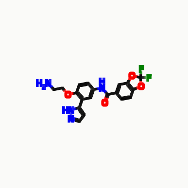 NCCOc1ccc(NC(=O)c2ccc3c(c2)OC(F)(F)O3)cc1-c1ccn[nH]1